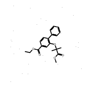 CCOC(=O)c1ccc(-c2ccccc2)c(OC(C)(C)C(=O)OC)c1